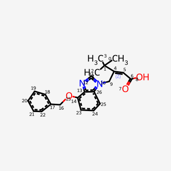 CC(C)(C)/C(=C/C(=O)O)Cn1cnc2c(OCc3ccccc3)cccc21